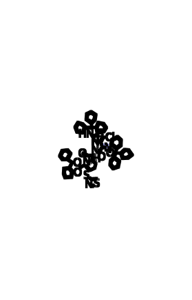 O=C(OC(c1ccccc1)c1ccccc1)C1=C(Sc2cscn2)CC[C@@H]2[C@H](NC(=O)/C(=N\OC(c3ccccc3)(c3ccccc3)c3ccccc3)c3nc(NC(c4ccccc4)(c4ccccc4)c4ccccc4)sc3Cl)C(=O)N12